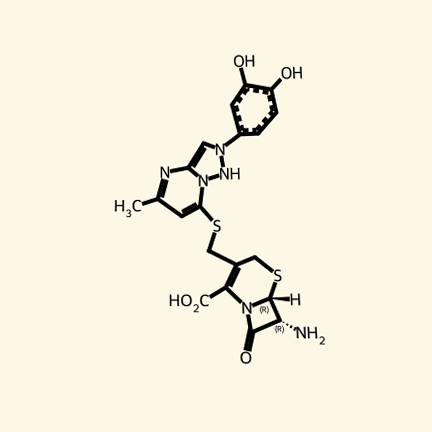 CC1=NC2=CN(c3ccc(O)c(O)c3)NN2C(SCC2=C(C(=O)O)N3C(=O)[C@@H](N)[C@H]3SC2)=C1